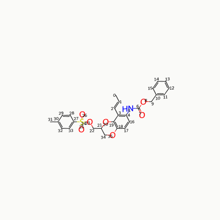 C/C=C/c1c(NC(=O)OCc2ccccc2)ccc2c1OC(COS(=O)(=O)c1ccc(C)cc1)CO2